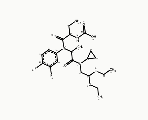 CCOC(CN(C(=O)C(C)N(C(=O)C(CN)NC(=O)O)c1ccc(F)c(F)c1)C1CC1)OCC